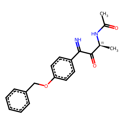 CC(=O)N[C@@H](C)C(=O)C(=N)c1ccc(OCc2ccccc2)cc1